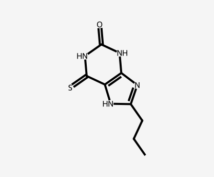 CCCc1nc2[nH]c(=O)[nH]c(=S)c2[nH]1